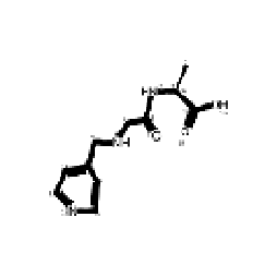 C[C@H](NC(=O)CNCc1ccncc1)C(=O)O